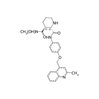 Cc1cc(COc2ccc(NC(=O)[C@H]3NCCC[C@@H]3C(=O)N(C)O)cc2)c2ccccc2n1